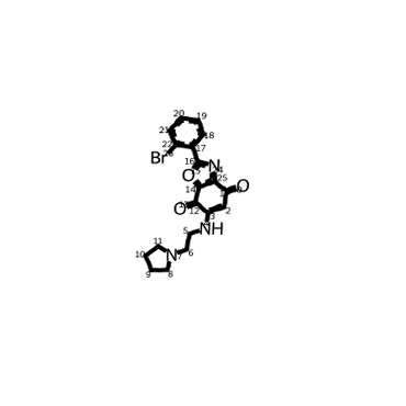 O=C1C=C(NCCN2CCCC2)C(=O)c2oc(-c3ccccc3Br)nc21